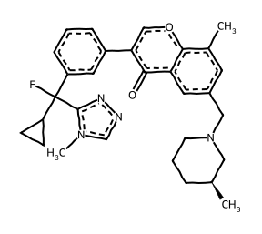 Cc1cc(CN2CCC[C@H](C)C2)cc2c(=O)c(-c3cccc(C(F)(c4nncn4C)C4CC4)c3)coc12